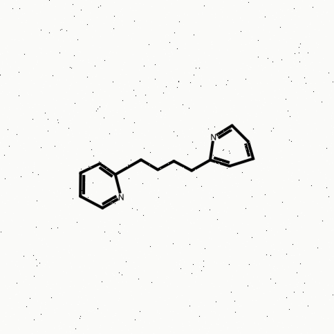 c1ccc(CCCCc2ccccn2)nc1